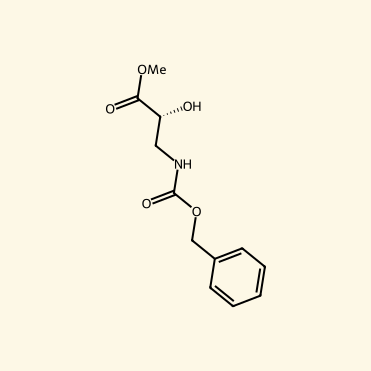 COC(=O)[C@H](O)CNC(=O)OCc1ccccc1